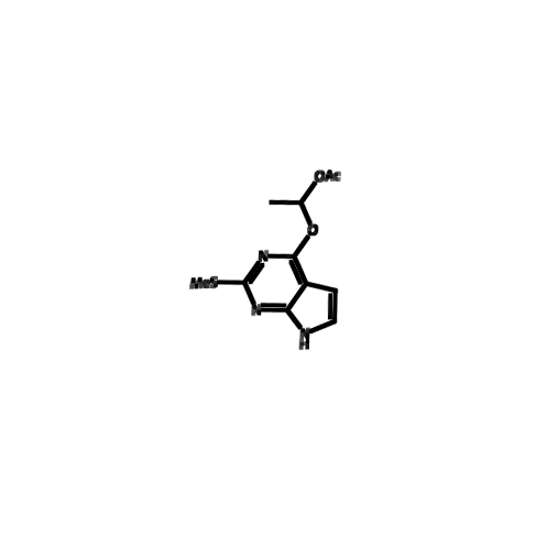 CSc1nc(OC(C)OC(C)=O)c2cc[nH]c2n1